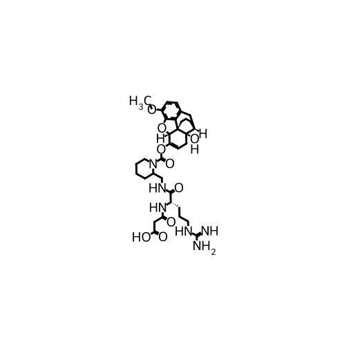 COc1ccc2c3c1O[C@H]1C(OC(=O)N4CCCCC4CNC(=O)[C@H](CCCNC(=N)N)NC(=O)CC(=O)O)=CC[C@@]4(O)[C@H](CCC[C@]314)C2